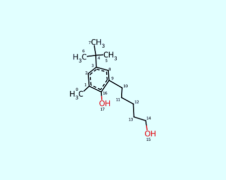 Cc1cc(C(C)(C)C)cc(CCCCCO)c1O